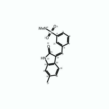 CNS(=O)(=O)c1cccc(C=C2C(=O)Nc3cc(C)ccc32)c1